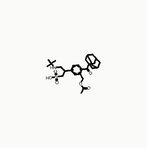 CC(=O)OCc1cc(C(CNC(C)(C)C)CS(=O)(=O)O)ccc1C(=O)C12CC3CC(CC(C3)C1)C2